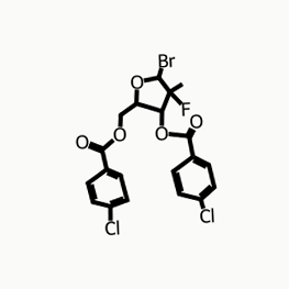 CC1(F)C(Br)OC(COC(=O)c2ccc(Cl)cc2)C1OC(=O)c1ccc(Cl)cc1